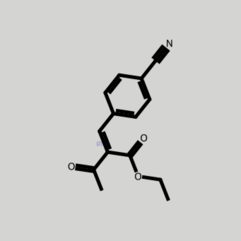 CCOC(=O)/C(=C\c1ccc(C#N)cc1)C(C)=O